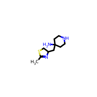 CC1=NC(CC2(N)CCNCC2)CS1